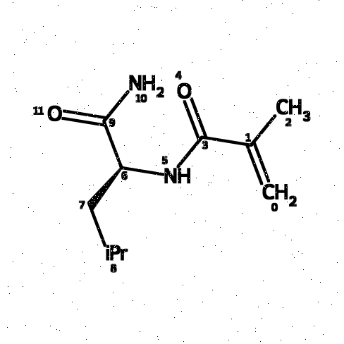 C=C(C)C(=O)N[C@@H](CC(C)C)C(N)=O